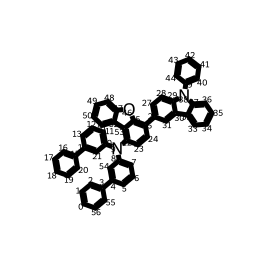 c1ccc(-c2cccc(N(c3cccc(-c4ccccc4)c3)c3ccc(-c4ccc5c(c4)c4ccccc4n5-c4ccccc4)c4oc5ccccc5c34)c2)cc1